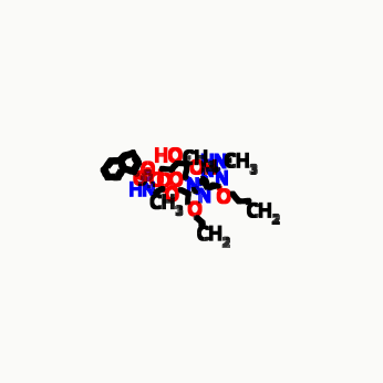 C=CCCOc1nc(NC)nc2c1ncn2C1OC(COP(=O)(N[C@@H](C)C(=O)OCCCOCC=C)Oc2cccc3ccccc23)[C@@H](O)[C@@]1(C)O